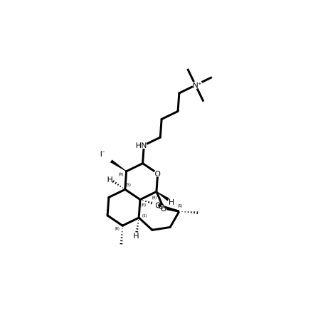 C[C@@H]1CC[C@H]2[C@@H](C)C(NCCCC[N+](C)(C)C)O[C@@H]3O[C@]4(C)CC[C@@H]1[C@]32OO4.[I-]